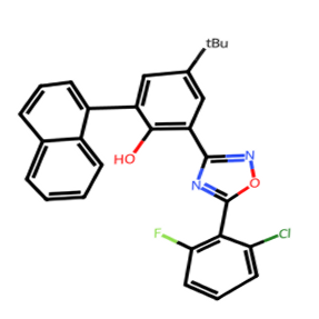 CC(C)(C)c1cc(-c2noc(-c3c(F)cccc3Cl)n2)c(O)c(-c2cccc3ccccc23)c1